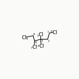 ClCCC(Cl)(Cl)C(Cl)CCl